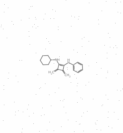 C=C1C(=C)C(NC2CCCCC2)=C1Nc1ccccc1